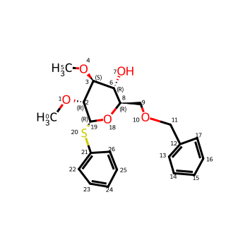 CO[C@@H]1[C@@H](OC)[C@H](O)[C@@H](COCc2ccccc2)O[C@@H]1Sc1ccccc1